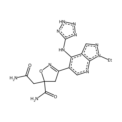 CCn1ncc2c(Nc3nn[nH]n3)c(C3=NOC(CC(N)=O)(C(N)=O)C3)cnc21